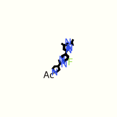 CC(=O)N1CCC(c2cn3cc(-c4cc(C)c5nc(C)cn5n4)cc(F)c3n2)CC1